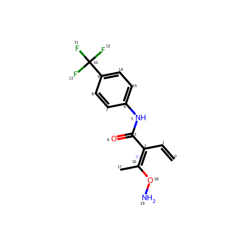 C=C/C(C(=O)Nc1ccc(C(F)(F)F)cc1)=C(/C)ON